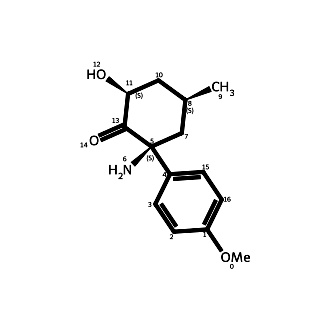 COc1ccc([C@@]2(N)C[C@H](C)C[C@H](O)C2=O)cc1